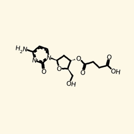 Nc1ccn([C@H]2C[C@H](OC(=O)CCC(=O)O)[C@@H](CO)O2)c(=O)n1